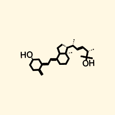 C=C1CC[C@H](O)C/C1=C\C=C1/CCC[C@@]2(C)C1CC[C@@H]2[C@H](C)/C=C/[C@H](C)C(C)(C)O